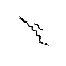 CCCC.O=C=NCCCCCCN=C=O